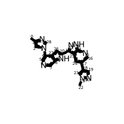 Cc1cn(-c2cncc3[nH]c(-c4n[nH]c5ncc(-c6cnn(C)c6)cc45)cc23)cn1